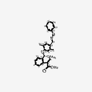 CO/C=C(/C(=O)OC)c1ccccc1COc1cc(C)c(/C=N/Oc2ccccc2)cc1C